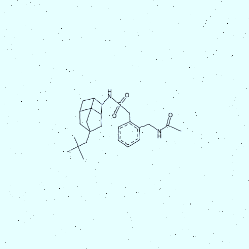 CC(=O)NCc1ccccc1CS(=O)(=O)NC1C2CC3CC1CC(CC(C)(C)C)(C3)C2